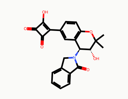 CC1(C)Oc2ccc(-c3c(O)c(=O)c3=O)cc2[C@H](N2Cc3ccccc3C2=O)[C@H]1O